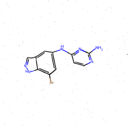 Nc1nccc(Nc2cc(Br)c3[nH]ncc3c2)n1